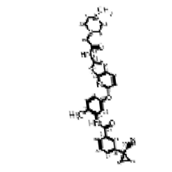 Cc1ccc(Oc2ccc3nc(NC(=O)CN4CCN(C)CC4)sc3n2)cc1NC(=O)c1cccc(C2(C#N)CC2)c1